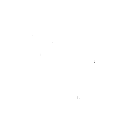 c1ccc(-c2nc(-c3ccccc3)nc(-c3cccc4c(-n5c6cc7c(cc6c6ccc8ccccc8c65)c5ccccc5n7-c5ccccc5)cccc34)n2)cc1